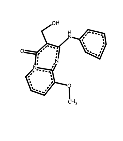 COc1cccn2c(=O)c(CO)c(Nc3ccccc3)nc12